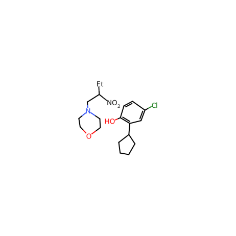 CCC(CN1CCOCC1)[N+](=O)[O-].Oc1ccc(Cl)cc1C1CCCC1